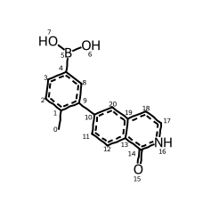 Cc1ccc(B(O)O)cc1-c1ccc2c(=O)[nH]ccc2c1